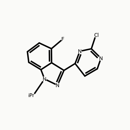 CC(C)n1nc(-c2ccnc(Cl)n2)c2c(F)cccc21